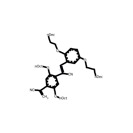 C=C(C#N)c1cc(OCCCCCCCC)c(/C(C#N)=C/c2cc(OCCCCCCCCCCCC)ccc2OCCCCCCCCCCCC)cc1OCCCCCCCC